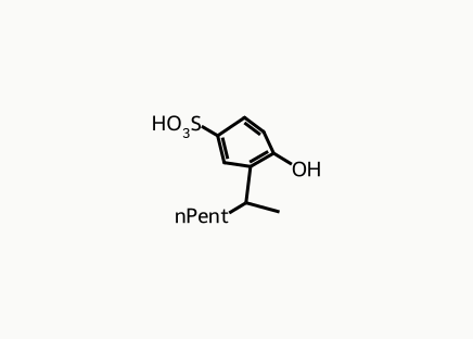 CCCCCC(C)c1cc(S(=O)(=O)O)ccc1O